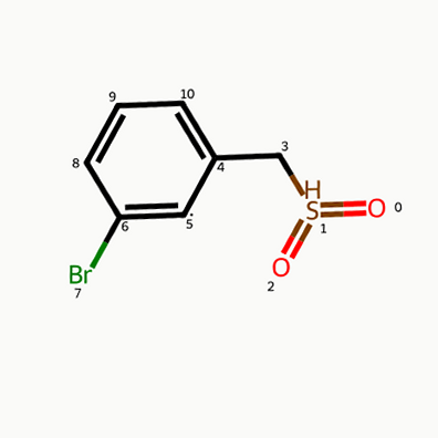 O=[SH](=O)Cc1[c]c(Br)ccc1